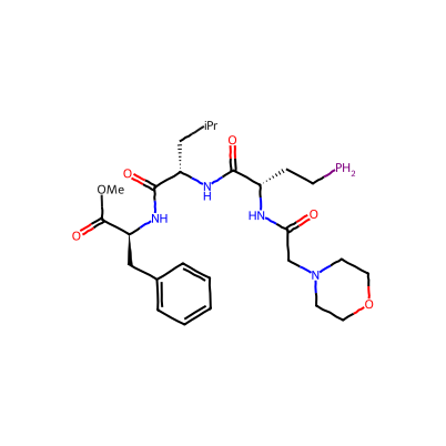 COC(=O)[C@H](Cc1ccccc1)NC(=O)[C@H](CC(C)C)NC(=O)[C@H](CCP)NC(=O)CN1CCOCC1